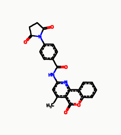 Cc1cc(NC(=O)c2ccc(N3C(=O)CCC3=O)cc2)nc2c1c(=O)oc1ccccc12